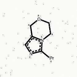 CC(C)c1ncc2n1CCOC2